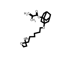 C=C(C)C(=O)OC12CC3CC(CC(OCCCCCCC4(CCCC)CCO4)(C3)C1)C2